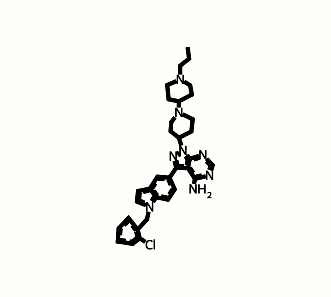 CCCN1CCC(N2CCC(n3nc(-c4ccc5c(ccn5Cc5ccccc5Cl)c4)c4c(N)ncnc43)CC2)CC1